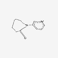 O=C1CCCCN1c1cccnc1